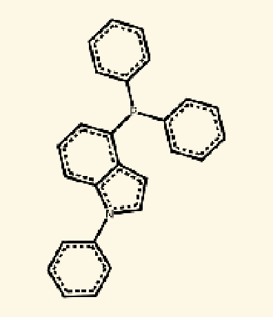 c1ccc(-n2ccc3c(P(c4ccccc4)c4ccccc4)cccc32)cc1